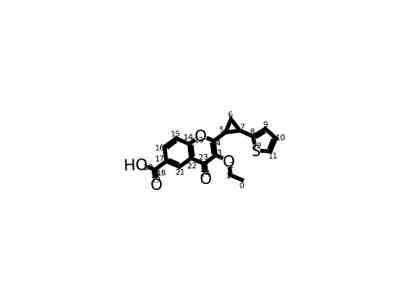 CCOc1c(C2CC2c2cccs2)oc2ccc(C(=O)O)cc2c1=O